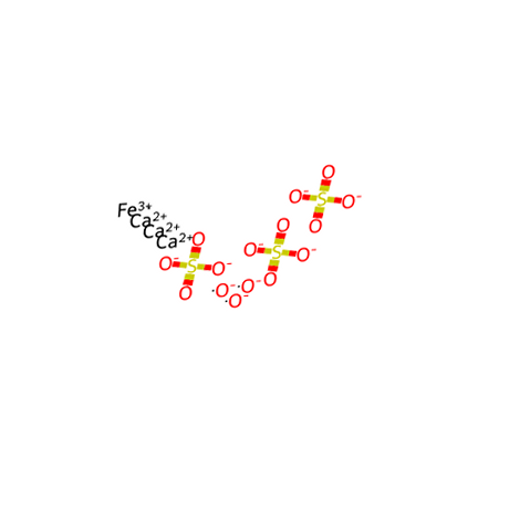 O=S(=O)([O-])[O-].O=S(=O)([O-])[O-].O=S(=O)([O-])[O-].[Ca+2].[Ca+2].[Ca+2].[Fe+3].[O-].[O-].[O-]